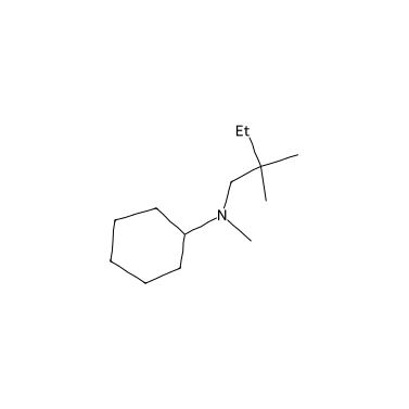 CCC(C)(C)CN(C)C1CCCCC1